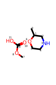 CC1CNCCO1.COC(=O)O